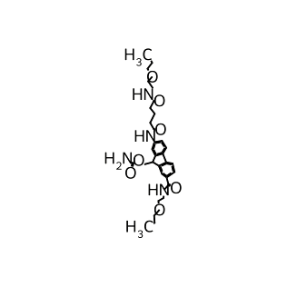 CCCOCCNC(=O)CCCC(=O)Nc1ccc2c(c1)C(COC(N)=O)c1cc(C(=O)NCCOCCC)ccc1-2